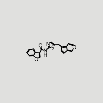 O=C(Nc1ncc(Cc2ccc3coccc2-3)s1)c1coc2ccccc12